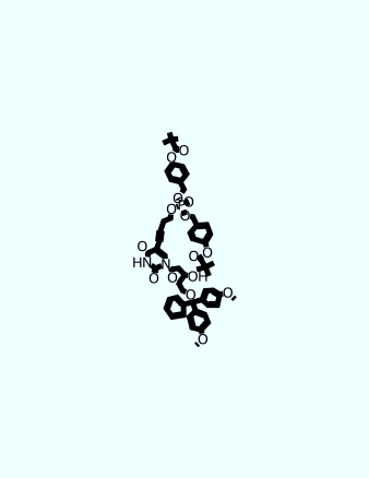 COc1ccc(C(OCC2OC(n3cc(C#CCCOP(=O)(OCc4ccc(OC(=O)C(C)(C)C)cc4)OCc4ccc(OC(=O)C(C)(C)C)cc4)c(=O)[nH]c3=O)CC2O)(c2ccccc2)c2ccc(OC)cc2)cc1